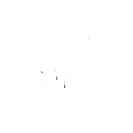 C[N+]1(C)CC[C@]23CCCC[C@H]2[C@H]1Cc1ccc(C(N)=O)c(O)c13